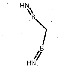 N=BCB=N